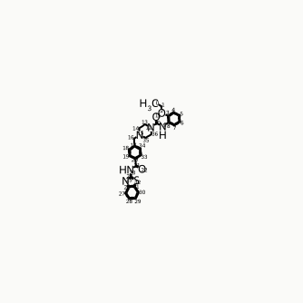 CCOc1ccccc1NC(=O)N1CCN(Cc2ccc(C(=O)Nc3nc4ccccc4s3)cc2)CC1